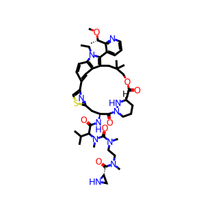 CCn1c(-c2cccnc2[C@H](C)OC)c2c3cc(ccc31)-c1csc(n1)C[C@H](NC(=O)C(C(C)C)N(C)C(=O)N(C)CCN(C)C(=O)[C@@H]1CN1)C(=O)N1CCC[C@H](N1)C(=O)OCC(C)(C)C2